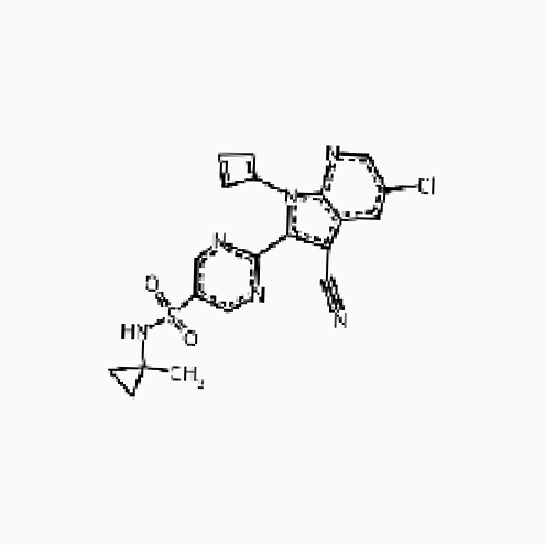 CC1(NS(=O)(=O)c2cnc(-c3c(C#N)c4cc(Cl)cnc4n3C3=CC=C3)nc2)CC1